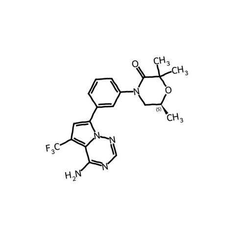 C[C@H]1CN(c2cccc(-c3cc(C(F)(F)F)c4c(N)ncnn34)c2)C(=O)C(C)(C)O1